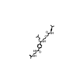 C=C(C)NCCNC(=O)c1ccc(C(NCCOCC(=O)NC#CC(C)C)SSC(C)C)cc1